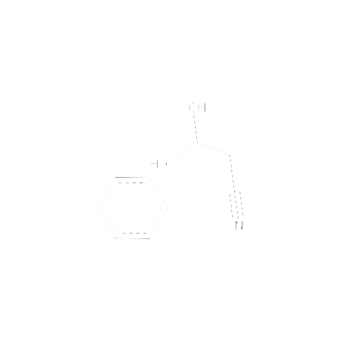 CC(C)CC#N.c1ccccc1